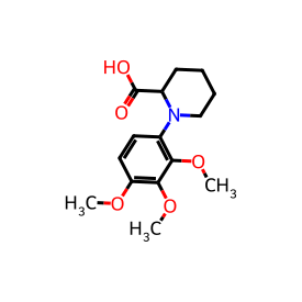 COc1ccc(N2CCCCC2C(=O)O)c(OC)c1OC